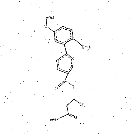 CCCCCCCCOc1ccc(C(=O)O)c(-c2ccc(C(=O)OC(CC(=O)CCCCCC)C(F)(F)F)cc2)c1